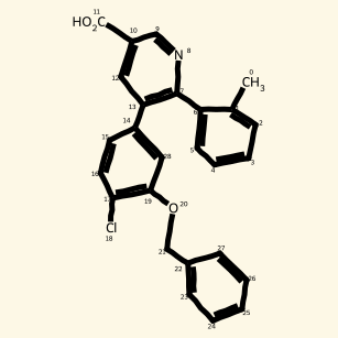 Cc1ccccc1-c1ncc(C(=O)O)cc1-c1ccc(Cl)c(OCc2ccccc2)c1